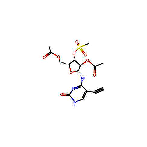 C#Cc1c[nH]c(=O)nc1N[C@@H]1O[C@H](COC(C)=O)[C@H](OS(C)(=O)=O)[C@H]1OC(C)=O